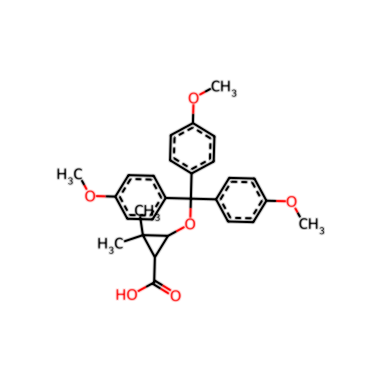 COc1ccc(C(OC2C(C(=O)O)C2(C)C)(c2ccc(OC)cc2)c2ccc(OC)cc2)cc1